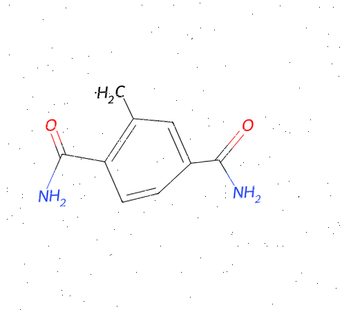 [CH2]c1cc(C(N)=O)ccc1C(N)=O